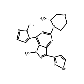 C[C@@H]1COCCN1c1nc(-c2ccnn2C)c2c(n1)c(-c1cc[nH]n1)nn2C